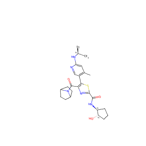 CC[C@H](Nc1cc(C)c(-c2sc(C(=O)N[C@H]3CCC[C@@H]3O)nc2C(=O)N2C3CCC2CC3)cn1)C(F)(F)F